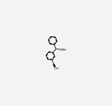 C#Cc1cccc(C(OC)c2ccccc2)c1